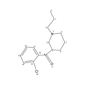 CCCN1CCCC(C(=O)c2ccccc2Cl)C1